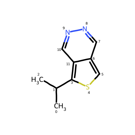 CC(C)c1scc2cnncc12